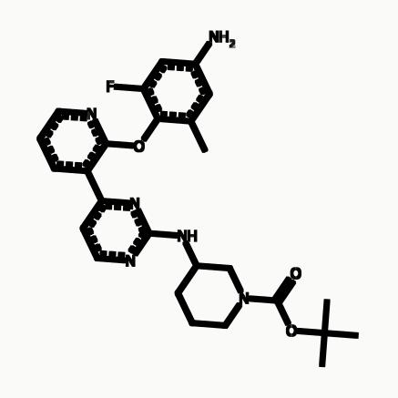 Cc1cc(N)cc(F)c1Oc1ncccc1-c1ccnc(NC2CCCN(C(=O)OC(C)(C)C)C2)n1